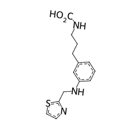 O=C(O)NCCCc1cccc(NCc2nccs2)c1